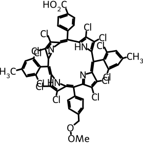 COOCc1ccc(-c2c3nc(c(-c4c(Cl)cc(C)cc4Cl)c4[nH]c(c(Cl)c4Cl)c(-c4ccc(C(=O)O)cc4)c4nc(c(-c5c(Cl)cc(C)cc5Cl)c5[nH]c2c(Cl)c5Cl)C(Cl)=C4Cl)C(Cl)=C3Cl)cc1